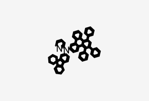 C1=CC2=C(CC1)c1ccc(N(c3ccc4c(c3)c3ccccc3c3c(-c5ccccc5)cc(-c5ccccc5)c(-c5ccccc5)c43)c3ccccn3)cc1C21CCCCC1